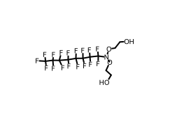 OCCON(OCCO)C(F)(F)C(F)(F)C(F)(F)C(F)(F)C(F)(F)C(F)(F)C(F)(F)C(F)(F)F